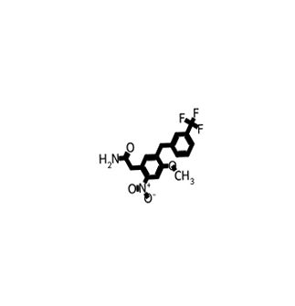 COc1cc([N+](=O)[O-])c(CC(N)=O)cc1Cc1cccc(C(F)(F)F)c1